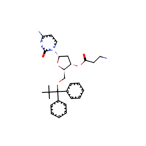 CC(C)(C)C(OC[C@H]1O[C@@H](n2ccc(N)nc2=O)C[C@H]1OC(=O)CCN)(c1ccccc1)c1ccccc1